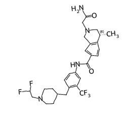 C[C@H]1CN(CC(N)=O)Cc2cc(C(=O)Nc3ccc(CC4CCN(CC(F)F)CC4)c(C(F)(F)F)c3)ccc21